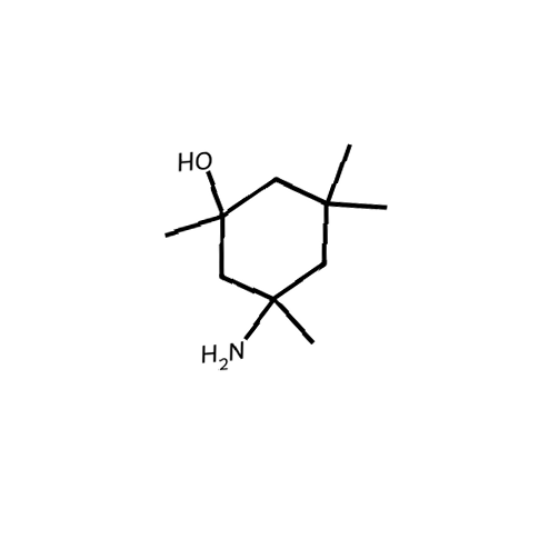 CC1(C)CC(C)(N)CC(C)(O)C1